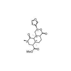 COC(=O)C1C[C@@H](C)C(=O)C2[C@@]1(C)CCC1C(=O)O[C@H](c3ccoc3)C[C@@]12C